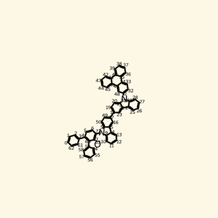 c1ccc(-c2ccc(-n3c4ccccc4c4cc(-c5ccc6c(c5)c5ccccc5n6-c5ccc6c7ccccc7c7ccccc7c6c5)ccc43)c3oc4ccccc4c23)cc1